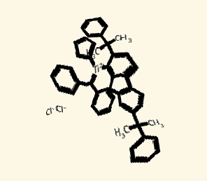 CC(C)(c1ccccc1)c1ccc2c(c1)Cc1c-2ccc(C(C)(C)c2ccccc2)[c]1[Ti+2]([C]1=CC=CC1)=[C](c1ccccc1)c1ccccc1.[Cl-].[Cl-]